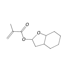 C=C(C)C(=O)OC1CC2CCCCC2O1